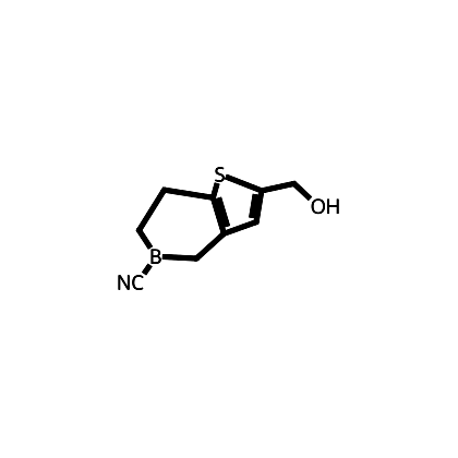 N#CB1CCc2sc(CO)cc2C1